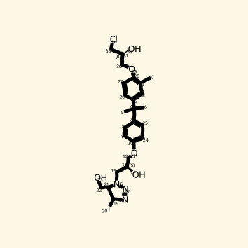 Cc1cc(C(C)(C)c2ccc(OC[C@@H](O)CN3N=NC(I)C3CO)cc2)ccc1OC[C@@H](O)CCl